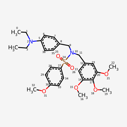 CCN(CC)c1ccc(CN(Cc2cc(OC)c(OC)c(OC)c2)S(=O)(=O)c2ccc(OC)cc2)cc1